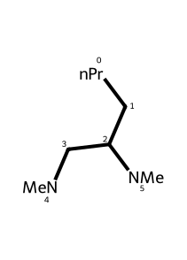 CCCCC(CNC)NC